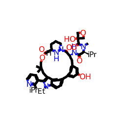 CCn1c(-c2cccnc2C(C)C)c2c3cc(ccc31)-c1cc(O)cc(c1)C[C@H](NC(=O)[C@H](C(C)C)N(C)C(=O)C1(O)COC1)C(=O)N1CCC[C@H](N1)C(=O)OCC(C)(C)C2